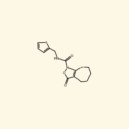 O=C(NCc1cccs1)n1oc(=O)c2c1CCCCC2